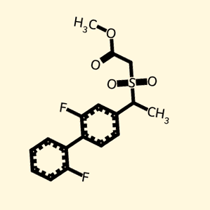 COC(=O)CS(=O)(=O)C(C)c1ccc(-c2ccccc2F)c(F)c1